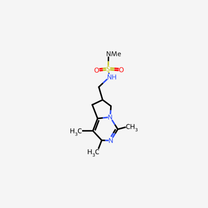 CNS(=O)(=O)NCC1CC2=C(C)C(C)N=C(C)N2C1